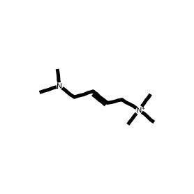 CN(C)C/C=C/C[N+](C)(C)C